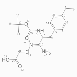 CCc1ccc(C[C@H](NC(=O)OC(C)(C)C)/C(N)=N/OCC(=O)O)cc1